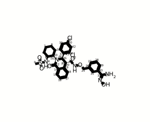 CS(=O)(=O)N[C@H]1CCCC[C@@H]1N1C(=O)c2ccccc2[C@@H](C(=O)NOCc2cccc(C(N)=NO)c2)[C@@H]1c1ccc(Cl)cc1Cl